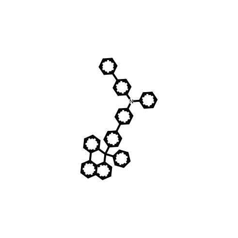 c1ccc(-c2ccc(N(c3ccccc3)c3ccc(-c4ccc(C5(c6ccccc6)c6ccccc6-c6cccc7cccc5c67)cc4)cc3)cc2)cc1